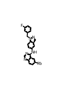 Fc1cccc(Cn2ncc3cc(Nc4ncnc5cc[c]([Rb])cc45)ccc32)c1